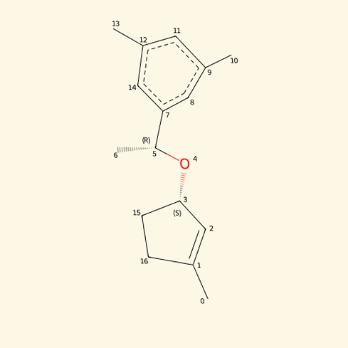 CC1=C[C@@H](O[C@H](C)c2cc(C)cc(C)c2)CC1